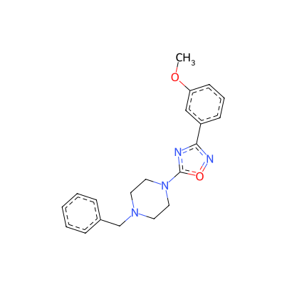 COc1cccc(-c2noc(N3CCN(Cc4ccccc4)CC3)n2)c1